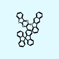 c1ccc2c(c1)-c1ccccc1C21c2ccccc2-c2ccc(-c3nc4sc5ccccc5c4nc3-n3c4ccccc4c4cc5ccccc5cc43)cc21